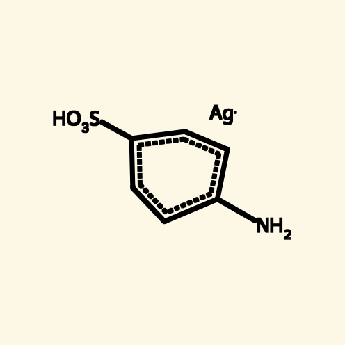 Nc1ccc(S(=O)(=O)O)cc1.[Ag]